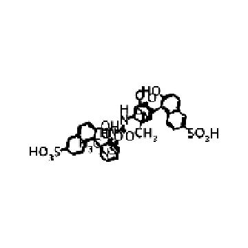 Cc1c2ccc(c1NC(=O)Nc1c3ccc(c1C)N(c1c(O)ccc4cc(S(=O)(=O)O)ccc14)S3(=O)=O)S(=O)(=O)N2c1c(O)ccc2cc(S(=O)(=O)O)ccc12